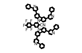 N#Cc1c(-n2c3ccc(-c4ccnc(-c5ccccc5)c4)cc3c3cc(-c4ccnc(-c5ccccc5)c4)ccc32)cc(-c2c(F)c(F)c(F)c(F)c2F)cc1-n1c2ccc(-c3ccnc(-c4ccccc4)c3)cc2c2cc(-c3ccnc(-c4ccccc4)c3)ccc21